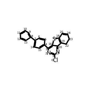 Clc1nc(-c2ccc(-c3ccccc3)cc2)c2sc3c(c2n1)CCC=C3